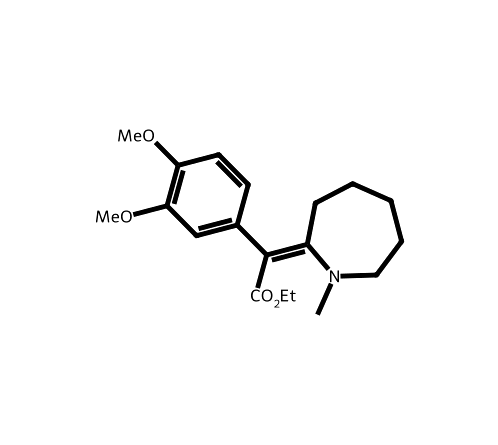 CCOC(=O)/C(=C1/CCCCCN1C)c1ccc(OC)c(OC)c1